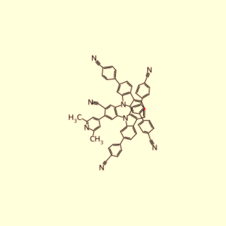 Cc1cc(-c2cc(-n3c4cc(-c5ccc(C#N)cc5)ccc4c4ccc(-c5ccc(C#N)cc5)cc43)c(-n3c4cc(-c5ccc(C#N)cc5)ccc4c4ccc(-c5ccc(C#N)cc5)cc43)cc2C#N)cc(C)n1